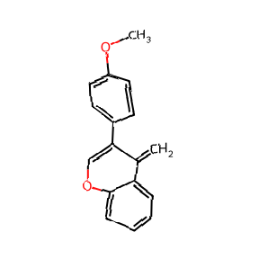 C=C1C(c2ccc(OC)cc2)=COc2ccccc21